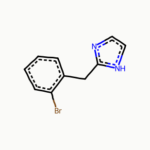 Brc1ccccc1Cc1ncc[nH]1